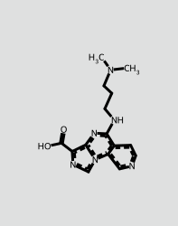 CN(C)CCCNc1nc2c(C(=O)O)ncn2c2cnccc12